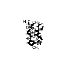 CCN(CC)S(=O)(=O)c1ccc(C(=O)Nc2ccc(C)c(Nc3nccc(-c4cncc(N5CCOCC5)c4)n3)c2)o1